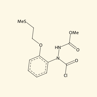 COC(=O)NN(C(=O)Cl)c1ccccc1OCCSC